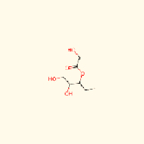 CCC(OC(=O)CO)C(O)CO